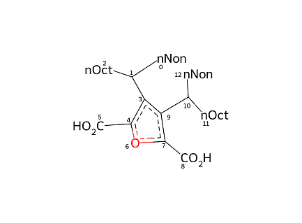 CCCCCCCCCC(CCCCCCCC)c1c(C(=O)O)oc(C(=O)O)c1C(CCCCCCCC)CCCCCCCCC